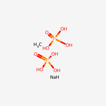 C.O=P(O)(O)O.O=P(O)(O)O.[NaH]